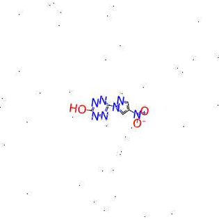 O=[N+]([O-])c1cnn(-c2nnc(O)nn2)c1